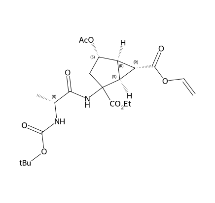 C=COC(=O)[C@H]1[C@H]2[C@@H]1C(NC(=O)[C@@H](C)NC(=O)OC(C)(C)C)(C(=O)OCC)C[C@@H]2OC(C)=O